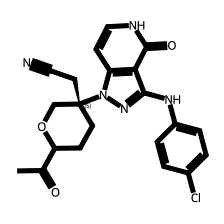 CC(=O)C1CC[C@@](CC#N)(n2nc(Nc3ccc(Cl)cc3)c3c(=O)[nH]ccc32)CO1